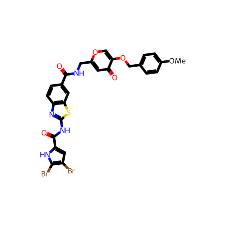 COc1ccc(COc2coc(CNC(=O)c3ccc4nc(NC(=O)c5cc(Br)c(Br)[nH]5)sc4c3)cc2=O)cc1